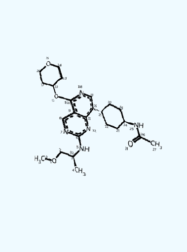 COC[C@H](C)Nc1ncc2c(OC3CCOCC3)ncc([C@H]3CC[C@H](NC(C)=O)CC3)c2n1